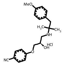 COc1ccc(CC(C)(C)NC[C@@H](O)COc2ccc(C#N)cc2)cc1.Cl